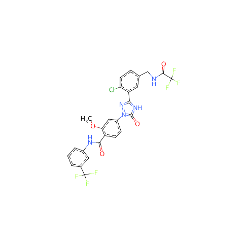 COc1cc(-n2nc(-c3cc(CNC(=O)C(F)(F)F)ccc3Cl)[nH]c2=O)ccc1C(=O)Nc1cccc(C(F)(F)F)c1